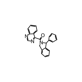 O=C(c1ncnc2ccccc12)N1Cc2ccccc2C1c1ccccc1